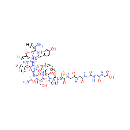 CC(C)C[C@H](NC(=O)[C@H](CO)NC(=O)[C@H](CC(N)=O)NC(=O)[C@H](CC(=O)O)NC(=O)[C@@H](NC(=O)[C@@H](NC(=O)[C@H](Cc1ccc(O)cc1)NC(=O)[C@H](C)N)[C@@H](C)O)C(C)C)C(=O)N[C@@H](C)C(=O)N[C@@H](CS)C(=O)NCC(=O)NCC(=O)NCC(=O)NCC(=O)NCC(=O)O